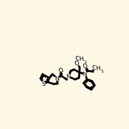 CCC(=O)N(c1ccccc1)C1(COC)CCN(CC(=O)N2CCc3sccc3C2)CC1